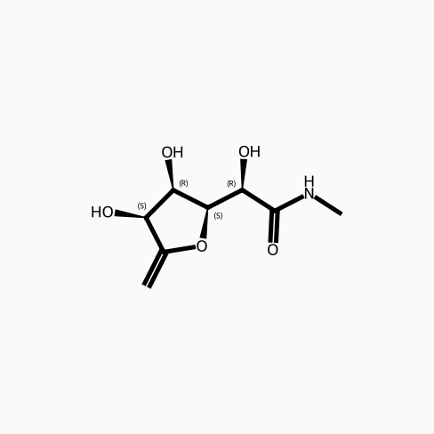 C=C1O[C@H]([C@@H](O)C(=O)NC)[C@H](O)[C@@H]1O